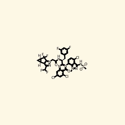 Cn1nc(NS(C)(=O)=O)c2c(Cl)ccc(-n3c([C@H](Cc4cc(F)cc(F)c4)NC(=O)Cn4nc(C(F)F)c5c4C(F)(F)[C@@H]4C[C@H]54)nc4cc(Cl)cc(Cl)c4c3=O)c21